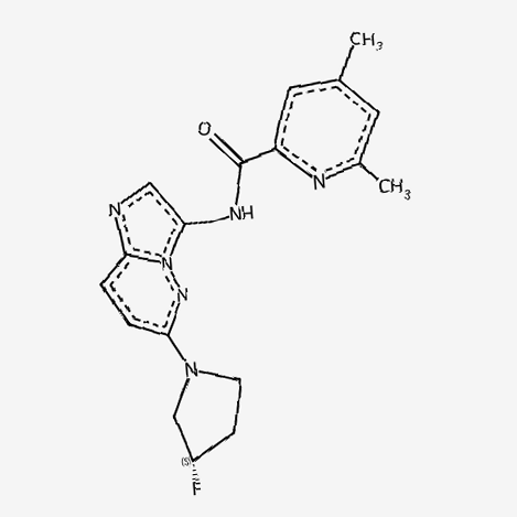 Cc1cc(C)nc(C(=O)Nc2cnc3ccc(N4CC[C@H](F)C4)nn23)c1